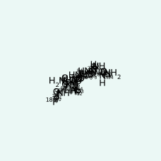 CC[C@H](C)[C@@H](CCC(=O)N[C@@H](CC1CC1)C(N)=O)NC(=O)[C@H](Cc1c[nH]cn1)NC(=O)CN(C)C(=O)[C@@H](NC(=O)[C@H](C)NC(=O)[C@H](Cc1c[nH]c2ccccc12)NC(=O)[C@H](CCC(N)=O)NC(=O)CCCCNC(=O)c1ccc([18F])cc1)C(C)C